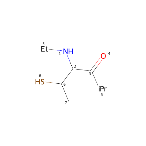 CCNC(C(=O)C(C)C)C(C)S